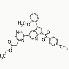 CCOC(=O)Cc1cncc(-c2cnc3c(c2)c(-c2ccccc2OC)cn3S(=O)(=O)c2ccc(C)cc2)n1